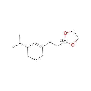 CC(C)C1C=C(CC[13CH]2OCCO2)CCC1